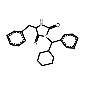 O=C1NC(Cc2ccccc2)C(=O)N1C(c1ccccc1)C1CCCCC1